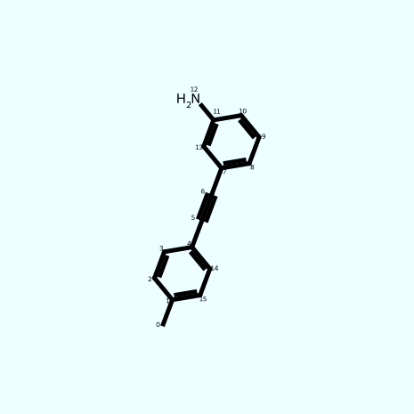 Cc1ccc(C#Cc2cccc(N)c2)cc1